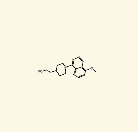 COc1cccc2c(N3CCC(CCO)CC3)ncnc12